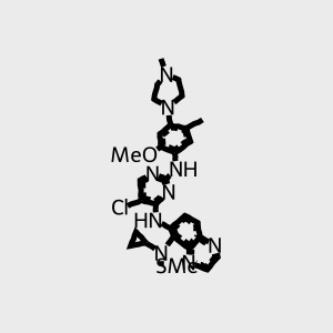 COc1cc(N2CCN(C)CC2)c(C)cc1Nc1ncc(Cl)c(Nc2ccc3nccnc3c2N(SC)C2CC2)n1